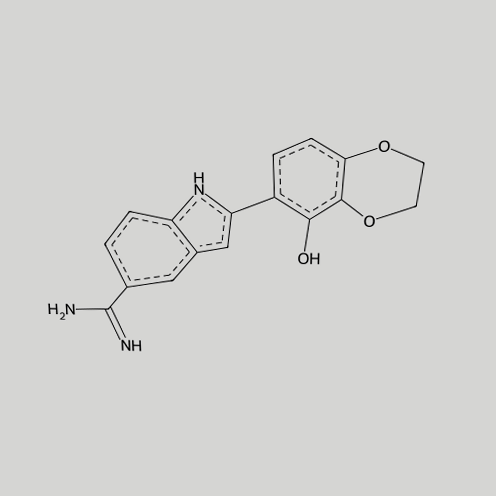 N=C(N)c1ccc2[nH]c(-c3ccc4c(c3O)OCCO4)cc2c1